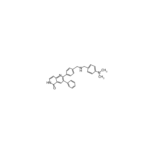 CN(C)c1ccc(CNCc2ccc(-c3nc4cc[nH]c(=O)c4cc3-c3ccccc3)cc2)cc1